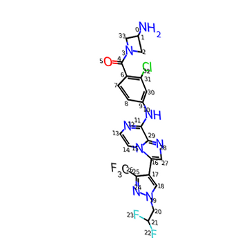 NC1CN(C(=O)c2ccc(Nc3nccn4c(-c5cn(CC(F)F)nc5C(F)(F)F)cnc34)cc2Cl)C1